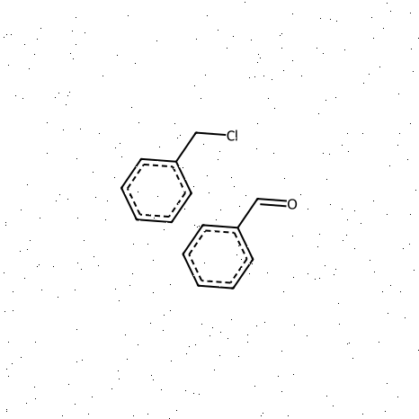 ClCc1ccccc1.O=Cc1ccccc1